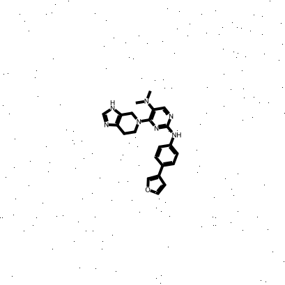 CN(C)c1cnc(Nc2ccc(-c3ccoc3)cc2)nc1N1CCc2nc[nH]c2C1